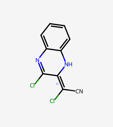 N#C/C(Cl)=C1\Nc2ccccc2N=C1Cl